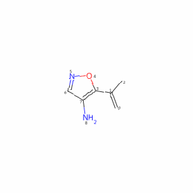 C=C(C)c1oncc1N